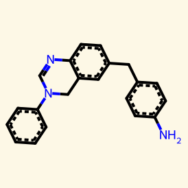 Nc1ccc(Cc2ccc3c(c2)CN(c2ccccc2)C=N3)cc1